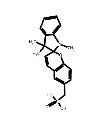 CN1c2ccccc2C(C)(C)C12C=Cc1cc(CP(=O)(O)O)ccc1O2